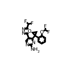 Nc1ncc(-c2nnc(C(F)F)o2)c(C2(c3ccccc3OC(F)F)CC2)n1